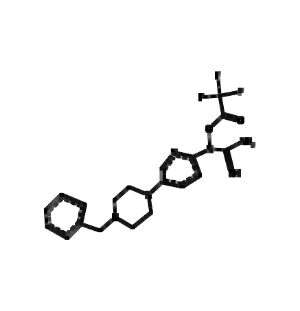 N=C(N)N(OC(=O)C(F)(F)F)c1ccc(N2CCN(Cc3ccccc3)CC2)cn1